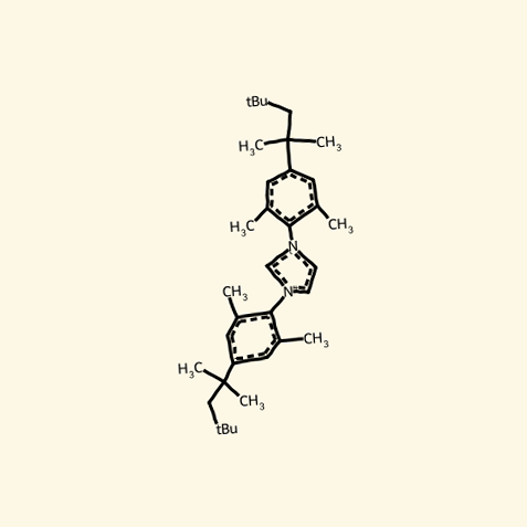 Cc1cc(C(C)(C)CC(C)(C)C)cc(C)c1-n1cc[n+](-c2c(C)cc(C(C)(C)CC(C)(C)C)cc2C)c1